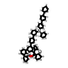 c1ccc(-c2ccc(-c3ccc(N(c4ccccc4)c4cccc(-c5ccc(-c6ccc7c(c6)C6(c8ccccc8Oc8ccccc86)c6ccccc6[Si]7(c6ccccc6)c6ccccc6)cc5)c4)cc3)cc2)cc1